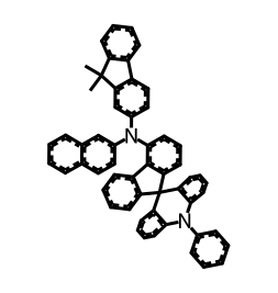 CC1(C)c2ccccc2-c2ccc(N(c3ccc4ccccc4c3)c3cccc4c3-c3ccccc3C43c4ccccc4N(c4ccccc4)c4ccccc43)cc21